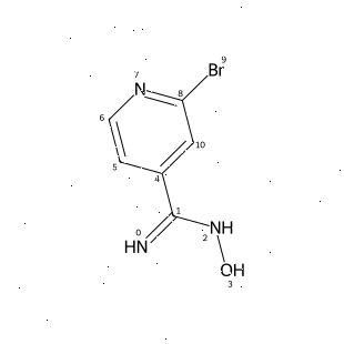 N=C(NO)c1ccnc(Br)c1